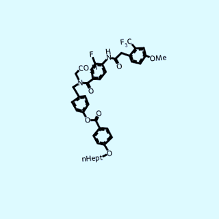 CCCCCCCOc1ccc(C(=O)Oc2ccc(CN(CC(=O)O)C(=O)c3ccc(NC(=O)Cc4ccc(OC)cc4C(F)(F)F)c(F)c3)cc2)cc1